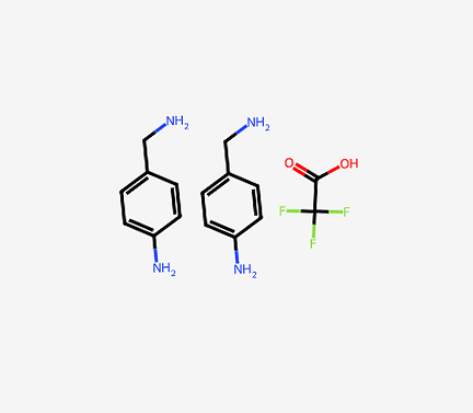 NCc1ccc(N)cc1.NCc1ccc(N)cc1.O=C(O)C(F)(F)F